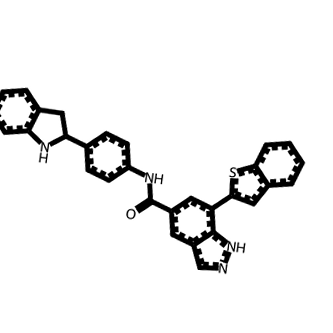 O=C(Nc1ccc(C2Cc3ccccc3N2)cc1)c1cc(-c2cc3ccccc3s2)c2[nH]ncc2c1